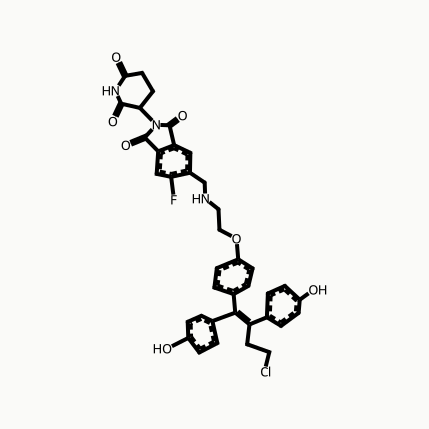 O=C1CCC(N2C(=O)c3cc(F)c(CNCCOc4ccc(C(=C(CCCl)c5ccc(O)cc5)c5ccc(O)cc5)cc4)cc3C2=O)C(=O)N1